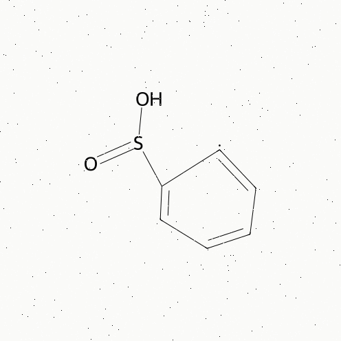 O=S(O)c1[c]cccc1